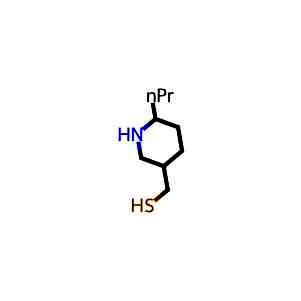 [CH]CCC1CCC(CS)CN1